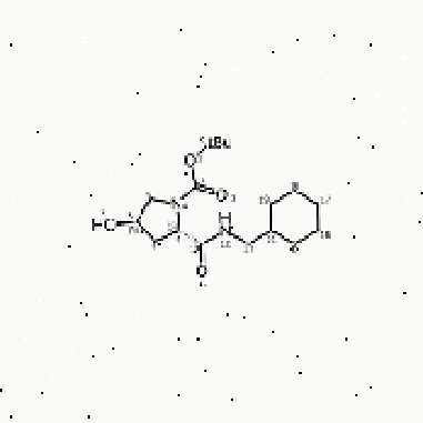 CC(C)(C)OC(=O)N1C[C@H](O)C[C@H]1C(=O)NCC1CCCCC1